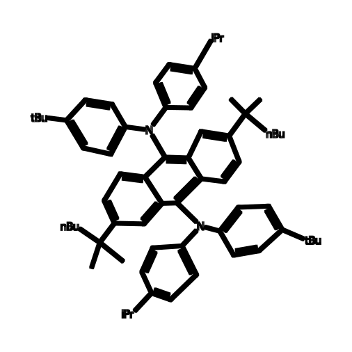 CCCCC(C)(C)c1ccc2c(N(c3ccc(C(C)C)cc3)c3ccc(C(C)(C)C)cc3)c3cc(C(C)(C)CCCC)ccc3c(N(c3ccc(C(C)C)cc3)c3ccc(C(C)(C)C)cc3)c2c1